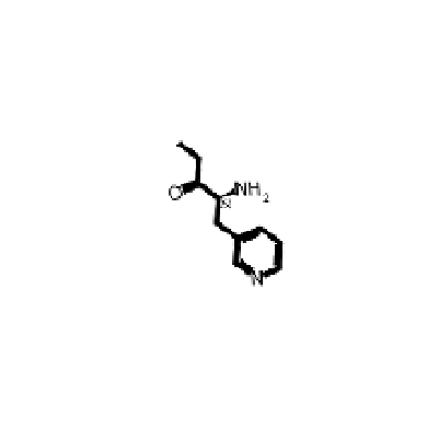 CCC(=O)[C@@H](N)Cc1cccnc1